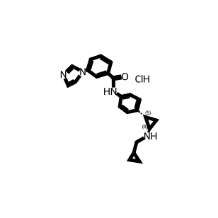 Cl.O=C(Nc1ccc([C@@H]2C[C@H]2NCC2CC2)cc1)c1cccc(-n2ccnc2)c1